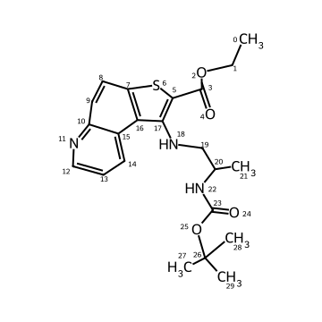 CCOC(=O)c1sc2ccc3ncccc3c2c1NCC(C)NC(=O)OC(C)(C)C